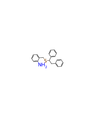 Nc1ccccc1CSC(Cc1ccccc1)c1ccccc1